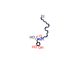 CC/C=C\CCCC/C=C\C/C=C\C/C=C\C/C=C\CCC(=O)N[C@@H](Cc1ccc(O)c(O)c1)C(=O)O